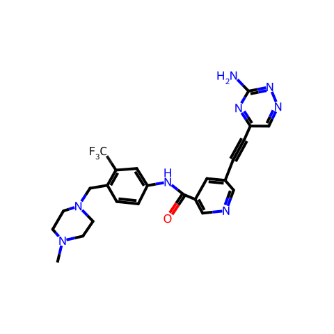 CN1CCN(Cc2ccc(NC(=O)c3cncc(C#Cc4cnnc(N)n4)c3)cc2C(F)(F)F)CC1